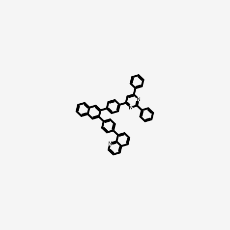 c1ccc(-c2cc(-c3ccc(-c4cc5ccccc5cc4-c4ccc(-c5cccc6cccnc56)cc4)cc3)nc(-c3ccccc3)n2)cc1